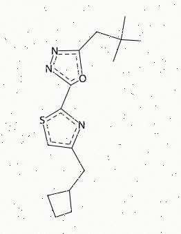 CC(C)(C)Cc1nnc(-c2nc(CC3CCC3)cs2)o1